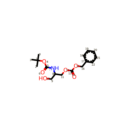 CC(C)(C)OC(=O)NC(CO)COC(=O)OCc1ccccc1